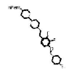 CCCCC[C@H]1CC[C@H]([C@H]2CC[C@H](CCc3ccc(OC[C@H]4CC[C@H](CC)CC4)c(F)c3F)CC2)CC1